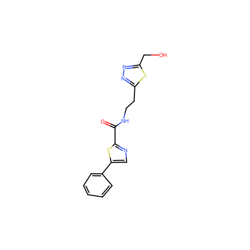 O=C(NCCc1nnc(CO)s1)c1ncc(-c2ccccc2)s1